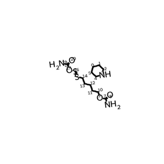 C1CCNCC1.NC(=O)OCCCCCSSOC(N)=O